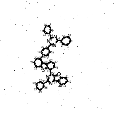 c1ccc(-c2nc(-c3ccccc3)nc(-c3ccc(-c4cccc5sc6c(-c7nc(-c8ccccc8)nc8c7oc7ccccc78)cccc6c45)cc3)n2)cc1